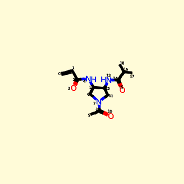 C=CC(=O)NC1CN(C(C)=O)CC1NC(=O)C(C)C